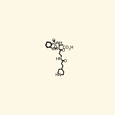 CC(C)c1ccccc1S(=O)(=O)NC(CC(=O)O)NC(=O)CCNC(=O)CCC1CCNCC1